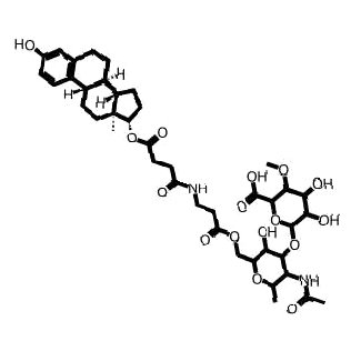 COC1C(C(=O)O)OC(OC2C(O)C(COC(=O)CCNC(=O)CCC(=O)O[C@H]3CC[C@H]4[C@@H]5CCc6cc(O)ccc6[C@H]5CC[C@]34C)OC(C)C2NC(C)=O)C(O)C1O